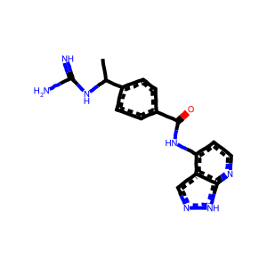 CC(NC(=N)N)c1ccc(C(=O)Nc2ccnc3[nH]ncc23)cc1